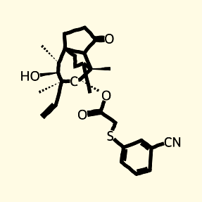 C=C[C@]1(C)C[C@@H](OC(=O)CSc2cccc(C#N)c2)[C@]2(C)C(C)CCC3(CCC(=O)C32)[C@@H](C)[C@@H]1O